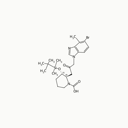 Cc1c(Br)ccc2c1ncn2CC(=O)C[C@@H]1[C@@H](O[Si](C)(C)C(C)(C)C)CCCN1C(=O)O